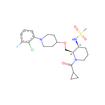 CS(=O)(=O)N[C@H]1CCCN(C(=O)C2CC2)[C@H]1COC1CCN(c2cccc(F)c2Cl)CC1